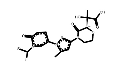 Cc1cc(N2CCO[C@H](C(C)(O)C(=O)O)C2=O)nn1-c1ccc(=O)n(C(F)F)c1